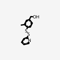 Cc1cc(CO)ccc1SSc1ccccn1